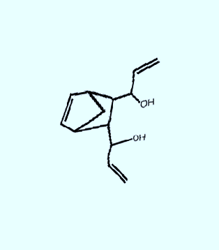 C=CC(O)C1C2C=CC(C2)C1C(O)C=C